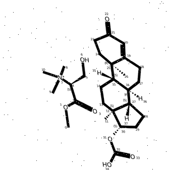 COC(=O)[C@H](CO)[N+](C)(C)C.C[C@]12CC[C@H]3[C@@H](CCC4=CC(=O)CC[C@@]43C)[C@@H]1CC[C@@H]2OC(=O)O